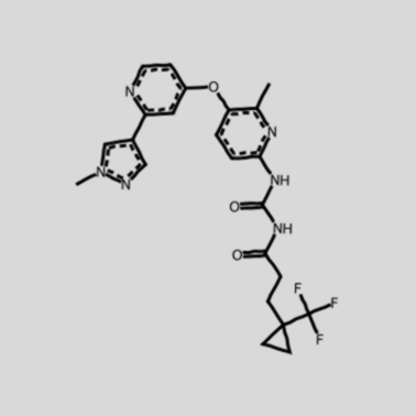 Cc1nc(NC(=O)NC(=O)CCC2(C(F)(F)F)CC2)ccc1Oc1ccnc(-c2cnn(C)c2)c1